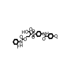 COc1ccc(C(=O)Nc2ccc(S(=O)(=O)C(CCOC(=O)Nc3ccccc3F)C(=O)O)cc2)cc1